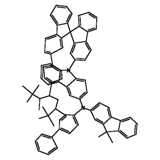 CC(CC(c1ccc(-c2ccc3c(c2)C2(c4ccccc4-3)c3ccccc3-c3ccc(-n4c5ccccc5c5cc(N(c6ccc(-c7ccccc7)cc6)c6ccc7c(c6)C(C)(C)c6ccccc6-7)ccc54)cc32)cc1)C(C)C(C)(C)C)C(C)(C)C